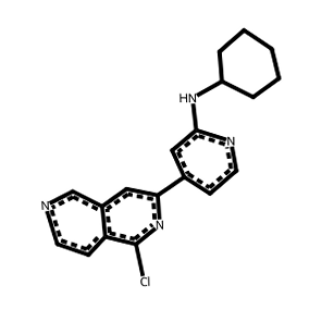 Clc1nc(-c2ccnc(NC3CCCCC3)c2)cc2cnccc12